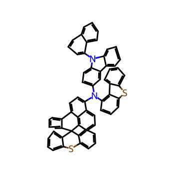 c1ccc2c(c1)Sc1ccccc1C21c2ccccc2-c2ccc(N(c3ccc4c(c3)c3ccccc3n4-c3cccc4ccccc34)c3cccc4sc5ccccc5c34)c3cccc1c23